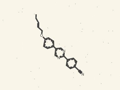 CC/C=C/COc1ccc(-c2cnc(-c3ccc(C#N)cc3)nc2)cc1